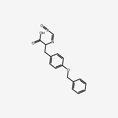 O=B/C=N\C(Cc1ccc(OCc2ccccc2)cc1)C(=O)O